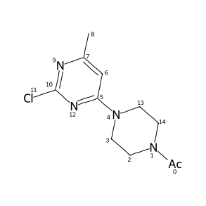 CC(=O)N1CCN(c2cc(C)nc(Cl)n2)CC1